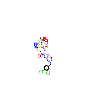 CC(C)(Sc1nnc(SCC(=O)NCC2CN(Cc3ccc(Cl)c(Cl)c3)CCO2)s1)C(=O)O